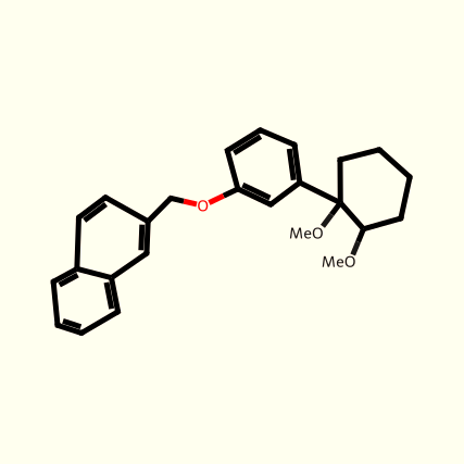 COC1CCCCC1(OC)c1cccc(OCc2ccc3ccccc3c2)c1